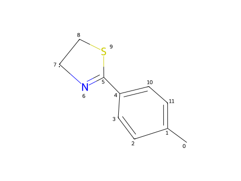 Cc1ccc(C2=N[CH]CS2)cc1